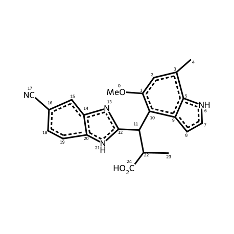 COc1cc(C)c2[nH]ccc2c1C(c1nc2cc(C#N)ccc2[nH]1)C(C)C(=O)O